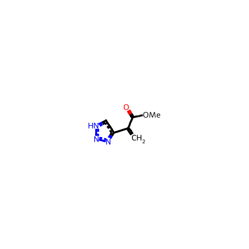 C=C(C(=O)OC)c1c[nH]nn1